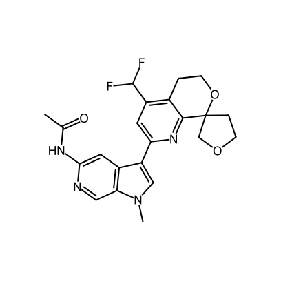 CC(=O)Nc1cc2c(-c3cc(C(F)F)c4c(n3)C3(CCOC3)OCC4)cn(C)c2cn1